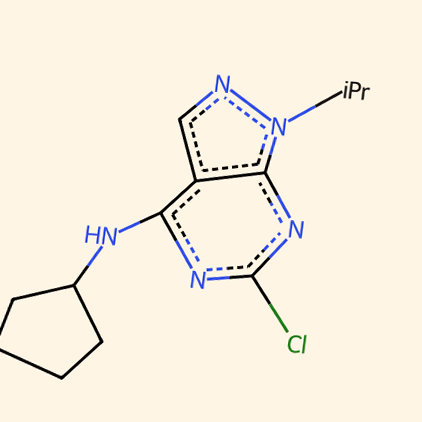 CC(C)n1ncc2c(NC3CCCC3)nc(Cl)nc21